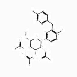 CS[C@H]1O[C@@H](c2ccc(C)c(Cc3ccc(C)cc3)c2)[C@H](OC(C)=O)[C@@H](OC(C)=O)[C@@H]1OC(C)=O